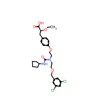 CCOC(Cc1ccc(OCCN(CCOCc2cc(Cl)cc(Cl)c2)C(=O)NC2CCCC2)cc1)C(=O)O